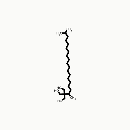 CC(C)CCCCCCCCCCCCCCCC(C)C(CO)(CO)CO